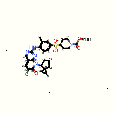 Cc1cc(S(=O)(=O)C2CCN(C(=O)OC(C)(C)C)CC2)ccc1Nc1ncc2cc(Cl)c(=O)n(C3CCCC34CC4)c2n1